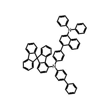 c1ccc(-c2ccc(N(c3ccc(-c4ccc(N(c5ccccc5)c5ccccc5)c5ccccc45)cc3)c3cccc4c3-c3ccccc3C43c4ccccc4-c4ccccc43)cc2)cc1